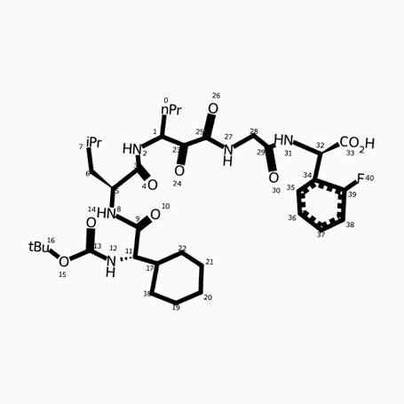 CCCC(NC(=O)[C@H](CC(C)C)NC(=O)[C@@H](NC(=O)OC(C)(C)C)C1CCCCC1)C(=O)C(=O)NCC(=O)N[C@@H](C(=O)O)c1ccccc1F